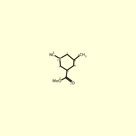 COC(=O)C1CB(C#N)CC(C)C1